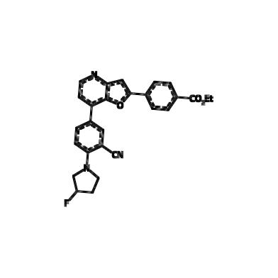 CCOC(=O)c1ccc(-c2cc3nccc(-c4ccc(N5CCC(F)C5)c(C#N)c4)c3o2)cc1